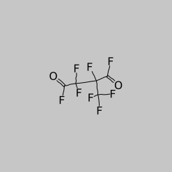 O=C(F)C(F)(F)C(F)(C(=O)F)C(F)(F)F